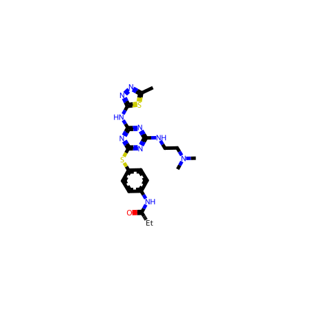 CCC(=O)Nc1ccc(Sc2nc(NCCN(C)C)nc(Nc3nnc(C)s3)n2)cc1